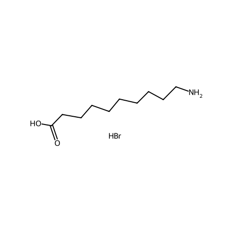 Br.NCCCCCCCCCC(=O)O